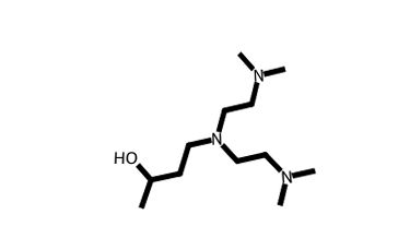 CC(O)CCN(CCN(C)C)CCN(C)C